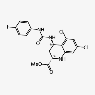 COC(=O)[C@@H]1C[C@@H](NC(=O)Nc2ccc(I)cc2)c2c(Cl)cc(Cl)cc2N1